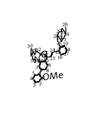 COc1ccccc1-c1ccc(C(=O)C=Cc2ccccc2CN2CCN(C)CC2)c(N2CCN(C)CC2)c1